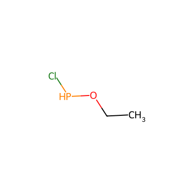 CCOPCl